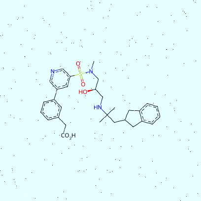 CN(C[C@H](O)CNC(C)(C)CC1Cc2ccccc2C1)S(=O)(=O)c1cncc(-c2cccc(CC(=O)O)c2)c1